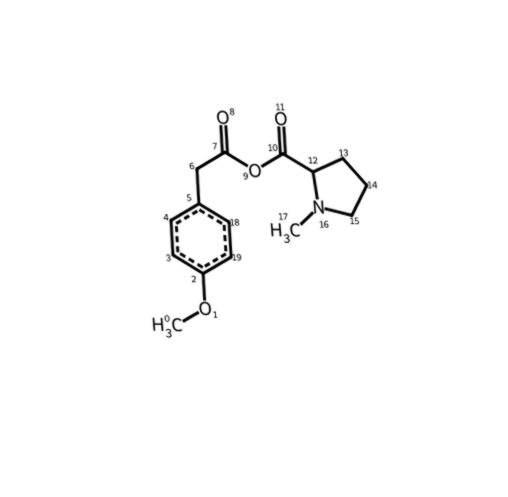 COc1ccc(CC(=O)OC(=O)C2CCCN2C)cc1